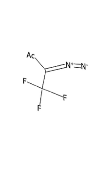 CC(=O)C(=[N+]=[N-])C(F)(F)F